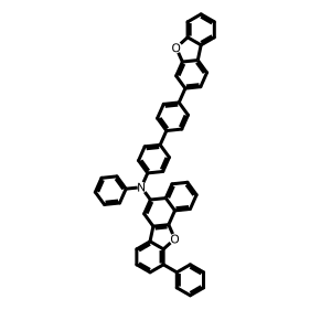 c1ccc(-c2cccc3c2oc2c4ccccc4c(N(c4ccccc4)c4ccc(-c5ccc(-c6ccc7c(c6)oc6ccccc67)cc5)cc4)cc32)cc1